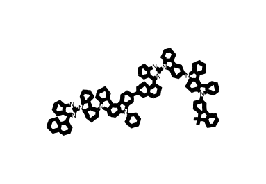 CC1(C)c2ccccc2-c2cc(-n3c4ccccc4c4c5c6ccccc6n(-c6ccc7c(c6)c6ccccc6n7-c6nc(-c7cccc8cc(-c9ccc%10c%11c%12c%13ccccc%13n(-c%13cccc%14c%13c%13ccccc%13n%14-c%13nc(-c%14cccc%15ccccc%14%15)c%14ccccc%14n%13)c%12ccc%11n(-c%11ccccc%11)c%10c9)ccc78)c7ccccc7n6)c5ccc43)ccc21